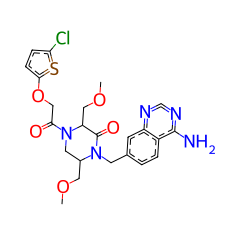 COCC1CN(C(=O)COc2ccc(Cl)s2)C(COC)C(=O)N1Cc1ccc2c(N)ncnc2c1